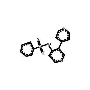 O=S(=O)(Nc1ccncc1-c1ccncc1)c1ccccc1